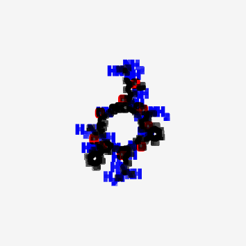 CC(=O)N[C@H](CCCNC(=N)N)C(=O)N[C@H]1CCCNC(=O)CC[C@@H](C(N)=O)NC(=O)[C@H](Cc2c[nH]c3ccccc23)NC(=O)[C@H](CCCNC(=N)N)NC(=O)[C@@H](Cc2ccccc2)NC(=O)[C@H](CC(N)=O)NC1=O